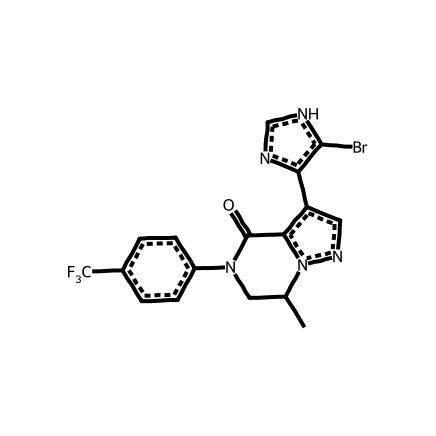 CC1CN(c2ccc(C(F)(F)F)cc2)C(=O)c2c(-c3nc[nH]c3Br)cnn21